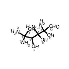 NC(N)(O)C(O)C(N)(O)C(N)(O)C=O